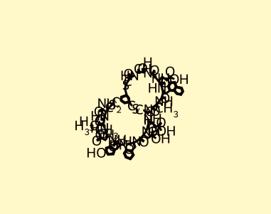 CC1NC(=O)CSCc2cc3cc(c2)CSCC(NC(=O)C(C)NC(=O)C(Cc2cccc4ccccc24)NC(=O)C(CCC(=O)O)NC(=O)NC1=O)C(=O)NC(CCC(=O)O)C(=O)NC(CC(=O)O)C(=O)NC(Cc1ccccc1)C(=O)NC(Cc1ccc(O)cc1)C(=O)NC(CC(=O)O)C(=O)NC(C(C)(C)C)C(=O)NC(C(N)=O)CSC3